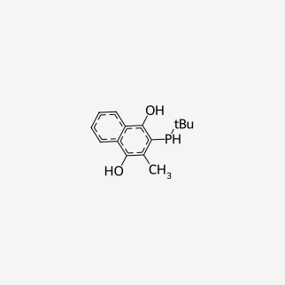 Cc1c(PC(C)(C)C)c(O)c2ccccc2c1O